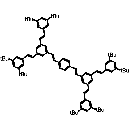 CC(C)(C)c1cc(C=Cc2cc(C=Cc3ccc(C=Cc4cc(C=Cc5cc(C(C)(C)C)cc(C(C)(C)C)c5)cc(C=Cc5cc(C(C)(C)C)cc(C(C)(C)C)c5)c4)cc3)cc(C=Cc3cc(C(C)(C)C)cc(C(C)(C)C)c3)c2)cc(C(C)(C)C)c1